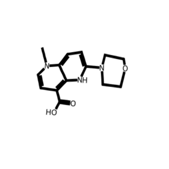 CN1C=CC(C(=O)O)=C2NC(N3CCOCC3)=CC=C21